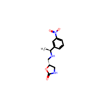 C[C@H](NC[C@@H]1CNC(=O)O1)c1cccc([N+](=O)[O-])c1